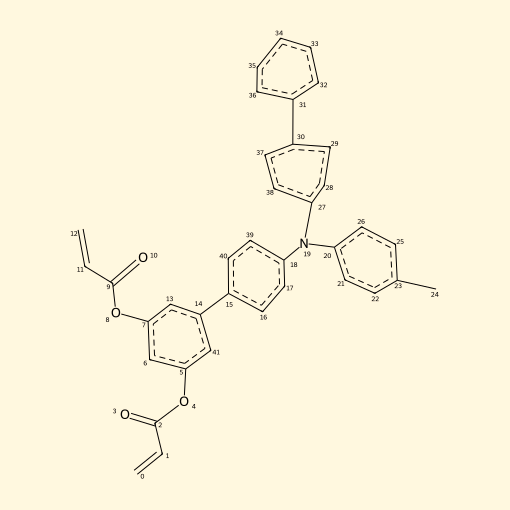 C=CC(=O)Oc1cc(OC(=O)C=C)cc(-c2ccc(N(c3ccc(C)cc3)c3ccc(-c4ccccc4)cc3)cc2)c1